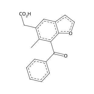 Cc1c(CC(=O)O)cc2ccoc2c1C(=O)c1ccccc1